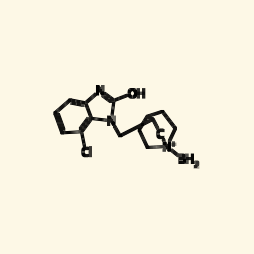 B[N+]12CCC(CC1)C(Cn1c(O)nc3cccc(Cl)c31)C2